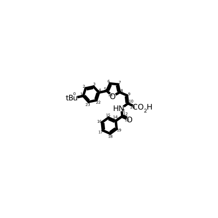 CC(C)(C)c1ccc(-c2ccc(C=C(NC(=O)c3ccccc3)C(=O)O)o2)cc1